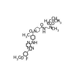 COc1ccc(-c2cnc3c(Nc4ccc(C(=O)N5CCC(C(=O)NCCN(C)C(=O)OC(C)(C)C)CC5)c(C)c4)nccn23)cc1F